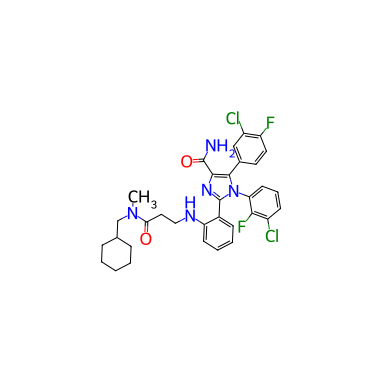 CN(CC1CCCCC1)C(=O)CCNc1ccccc1-c1nc(C(N)=O)c(-c2ccc(F)c(Cl)c2)n1-c1cccc(Cl)c1F